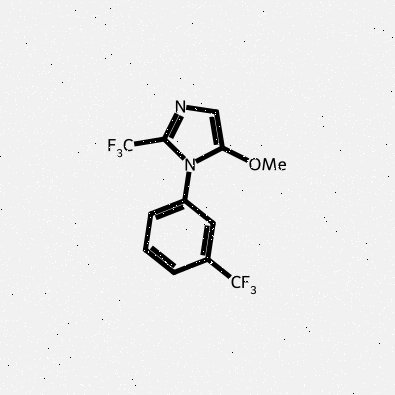 COc1cnc(C(F)(F)F)n1-c1cccc(C(F)(F)F)c1